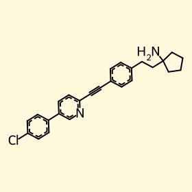 NC1(CCc2ccc(C#Cc3ccc(-c4ccc(Cl)cc4)cn3)cc2)CCCC1